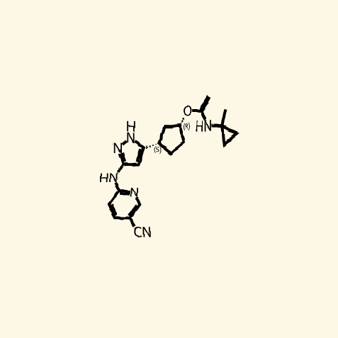 C=C(NC1(C)CC1)O[C@@H]1CC[C@H](c2cc(Nc3ccc(C#N)cn3)n[nH]2)C1